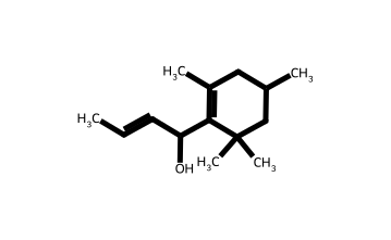 CC=CC(O)C1=C(C)CC(C)CC1(C)C